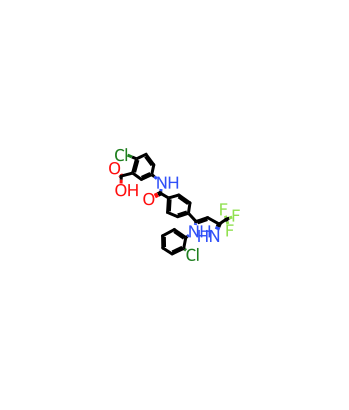 N=C(/C=C(\Nc1ccccc1Cl)c1ccc(C(=O)Nc2ccc(Cl)c(C(=O)O)c2)cc1)C(F)(F)F